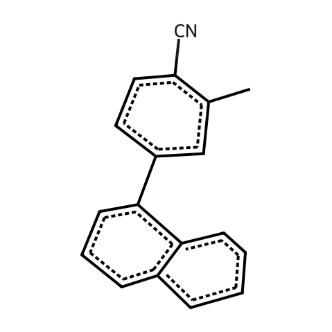 Cc1cc(-c2cccc3ccccc23)ccc1C#N